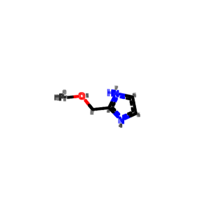 CCCOCc1ncc[nH]1